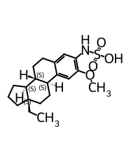 CC[C@@]12CCC[C@H]1[C@@H]1CCc3cc(NS(=O)(=O)O)c(OC)cc3[C@H]1CC2